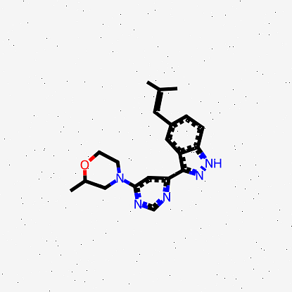 CC(C)=Cc1ccc2[nH]nc(-c3cc(N4CCOC(C)C4)ncn3)c2c1